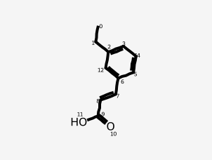 CCc1c[c]cc(C=CC(=O)O)c1